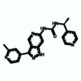 Cc1cc(-c2n[nH]c3cc(NC(=O)N[C@@H](C)c4ccncc4)ncc23)ccn1